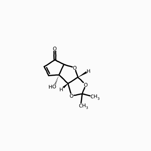 CC1(C)O[C@H]2OC3C(=O)C=C[C@]3(O)[C@H]2O1